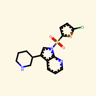 O=S(=O)(c1ccc(Cl)s1)n1cc(C2CCCNC2)c2cccnc21